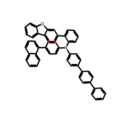 c1ccc(-c2ccc(-c3ccc(N(c4ccc(-c5cccc6ccccc56)cc4)c4ccccc4-c4ccc5c(c4)oc4ccccc45)cc3)cc2)cc1